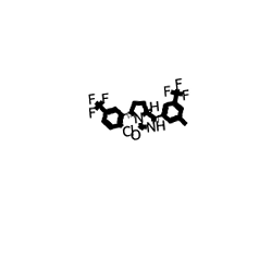 Cc1cc([C@H]2NC(=O)N3[C@H](c4cc(C(F)(F)F)ccc4Cl)CC[C@@H]23)cc(C(F)(F)F)c1